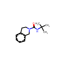 CC(C)(C)NC(=O)N1CCc2c[c]ccc2C1